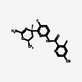 Cc1cc(C#N)cnc1C(=O)Nc1ccc(F)c([C@@]2(C)C[C@@H](C(F)(F)F)OC(N)=N2)n1